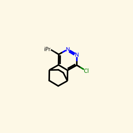 CC(C)c1nnc(Cl)c2c1C1CCC2CC1